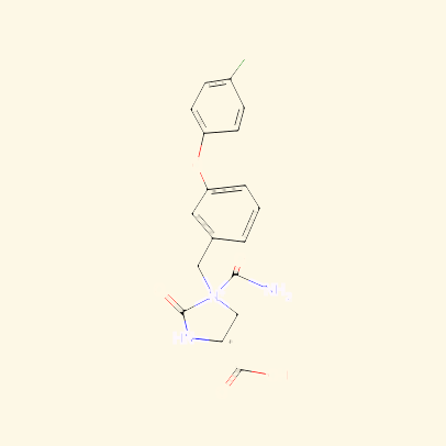 NC(=O)[N+]1(Cc2cccc(Oc3ccc(F)cc3)c2)C[C@H](C(=O)O)NC1=O